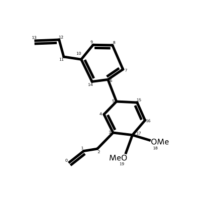 C=CCC1=CC(c2cccc(CC=C)c2)C=CC1(OC)OC